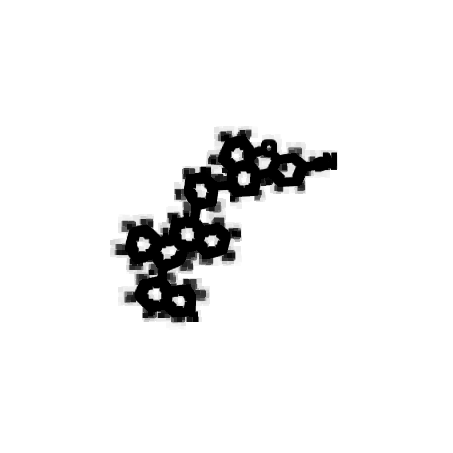 N#CC1=CC=C2c3ccc(-c4cccc(-c5cc6c7ccccc7c(-c7cccc8ccccc78)cc6c6ccccc56)c4)c4cccc(c34)OC2C1